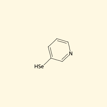 [SeH]c1cccnc1